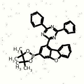 CC1(C)OB(c2cc(-c3nc(-c4ccccc4)nc(-c4ccccc4)n3)c3c(c2)oc2ccccc23)OC1(C)C